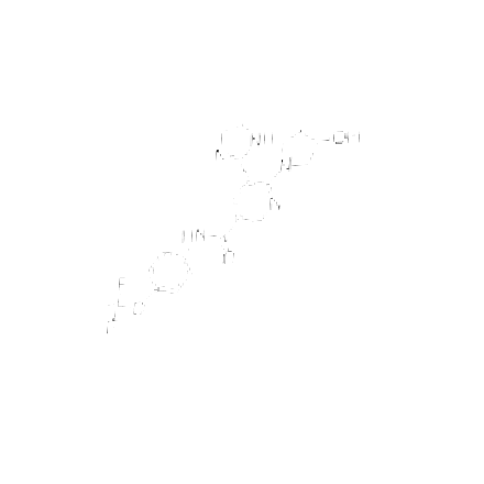 CC(F)(F)Oc1ccc(NC(=O)c2cnc(N3CC[C@@H](O)C3)c(C3=NCCN3)c2)cc1